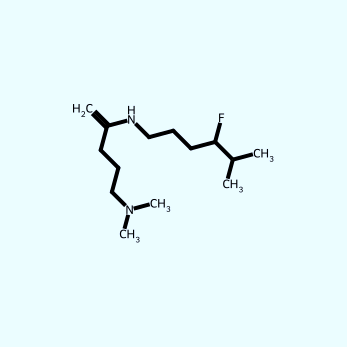 C=C(CCCN(C)C)NCCCC(F)C(C)C